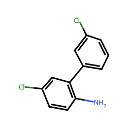 Nc1ccc(Cl)cc1-c1cc[c]c(Cl)c1